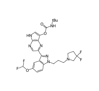 CC(C)(C)NC(=O)Oc1c[nH]c2ncc(-c3nn(CCCN4CCC(F)(F)C4)c4ccc(OC(F)F)cc34)nc12